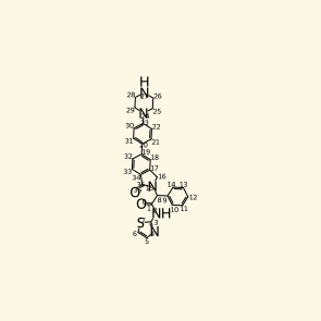 O=C(Nc1nccs1)C(c1ccccc1)N1Cc2cc(-c3ccc(N4CCNCC4)cc3)ccc2C1=O